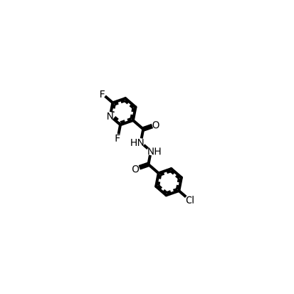 O=C(NNC(=O)c1ccc(F)nc1F)c1ccc(Cl)cc1